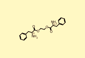 N[C@@H](Cc1ccccc1)C(=O)OCCOC(=O)[C@@H](N)Cc1ccccc1